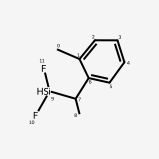 Cc1ccccc1C(C)[SiH](F)F